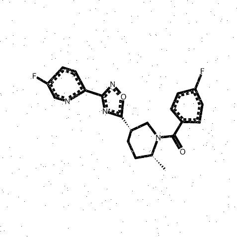 C[C@@H]1CC[C@H](c2nc(-c3ccc(F)cn3)no2)CN1C(=O)c1ccc(F)cc1